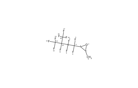 CC1OC1C(F)(F)C(F)(F)C(F)(C(F)(F)F)C(F)(F)F